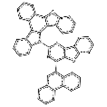 c1ccc2c(c1)cc(-c1nc(-n3c4ccccc4c4c5ccccc5c5sc6ccccc6c5c43)nc3c1oc1ccccc13)c1ccccc12